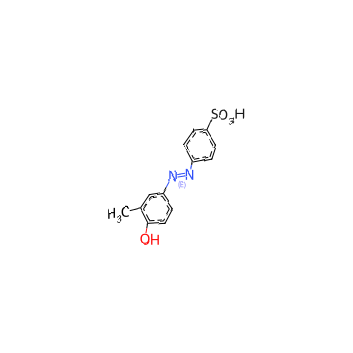 Cc1cc(/N=N/c2ccc(S(=O)(=O)O)cc2)ccc1O